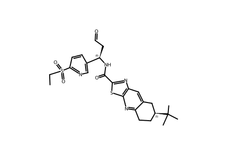 CCS(=O)(=O)c1ccc([C@@H](CC=O)NC(=O)c2nc3cc4c(nc3s2)CC[C@H](C(C)(C)C)C4)cn1